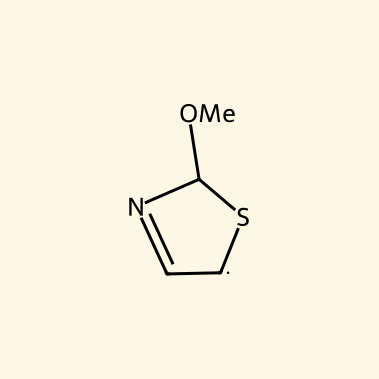 COC1N=C[CH]S1